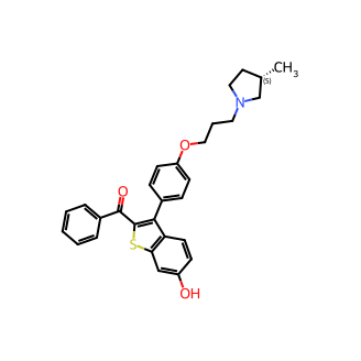 C[C@H]1CCN(CCCOc2ccc(-c3c(C(=O)c4ccccc4)sc4cc(O)ccc34)cc2)C1